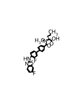 CCC[C@@H](C(=O)O)N(C)C(=O)c1ccc(-c2ccc(Nc3nc4ccc(F)cc4s3)c(F)c2)cc1